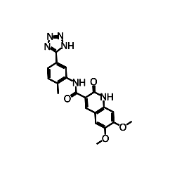 COc1cc2cc(C(=O)Nc3cc(-c4nnn[nH]4)ccc3C)c(=O)[nH]c2cc1OC